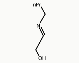 CCCCN=CCO